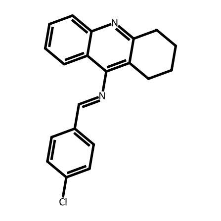 Clc1ccc(/C=N/c2c3c(nc4ccccc24)CCCC3)cc1